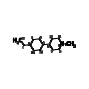 CCC1CCC(C2CCN(C)CC2)CC1